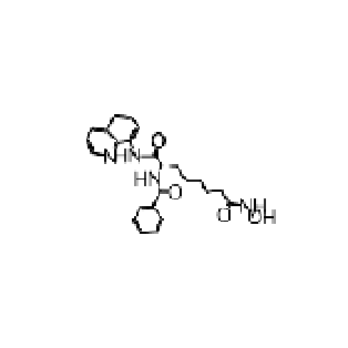 O=C(CCCCC[C@@H](NC(=O)c1ccccc1)C(=O)Nc1cccc2cccnc12)NO